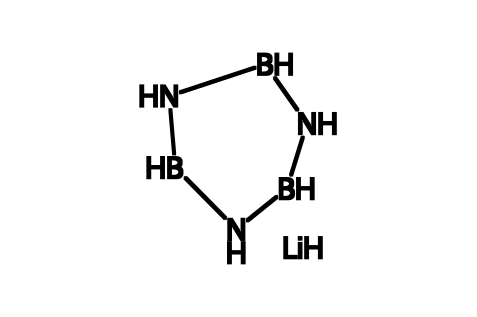 B1NBNBN1.[LiH]